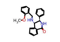 COc1ccccc1CN[C@H]1c2ccccc2C(=O)N[C@@H]1c1ccccc1